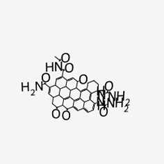 CC(=O)NC(=O)C1=CC2C(C(N)=O)=CC3CC(=O)C4C(=O)C5=CC6=CC=C(NC(N)=O)C7=C8C9=C%10C(=C5C5=C4C3C2C2C1=CC(OC9CCC8NC(N)=O)C%10C52)C67